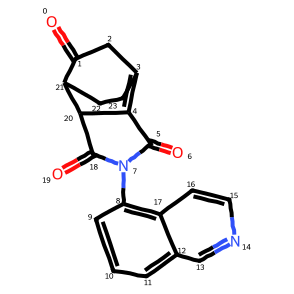 O=C1CC2=C3C(=O)N(c4cccc5cnccc45)C(=O)C3C1CC2